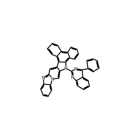 c1ccc(-c2nc(-n3c4cn5c(cc4c4c6ccccc6c6ccccc6c43)nc3ccccc35)nc3ccccc23)cc1